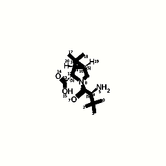 CC(C)(C)[C@H](N)C(=O)N1C[C@H]2[C@@H]([C@H]1C(=O)O)C2(C)C